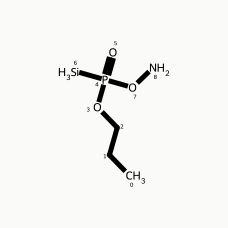 CCCOP(=O)([SiH3])ON